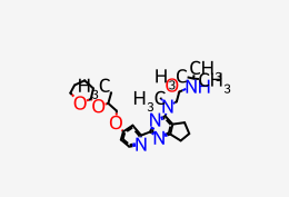 CCC(COc1ccnc(-c2nc3c(c(N(C)CC(=O)NC(C)(C)C)n2)CCC3)c1)OC1CCCCO1